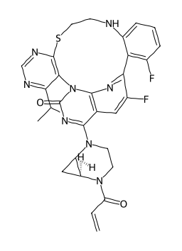 C=CC(=O)N1CCN(c2nc(=O)n3c4nc(c(F)cc24)-c2c(F)cccc2NCCSc2ncnc(C(C)C)c2-3)[C@@H]2C[C@@H]21